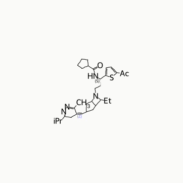 CCC1C2CC(/C=C3/CC(C(C)C)=NN=C3C)CC2N1CC[C@H](NC(=O)C1CCCC1)c1ccc(C(C)=O)s1